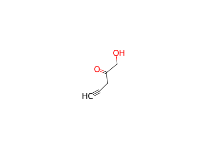 C#CCC(=O)CO